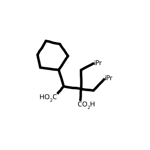 CC(C)CC(CC(C)C)(C(=O)O)C(C(=O)O)C1CCCCC1